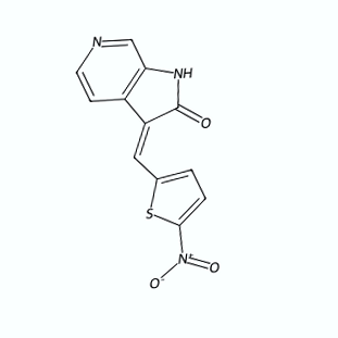 O=C1Nc2cnccc2C1=Cc1ccc([N+](=O)[O-])s1